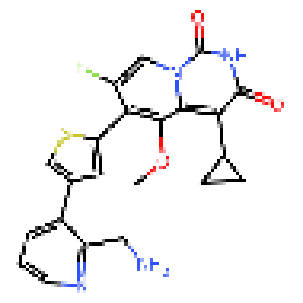 COc1c(-c2cc(-c3cccnc3CN)cs2)c(F)cn2c(=O)[nH]c(=O)c(C3CC3)c12